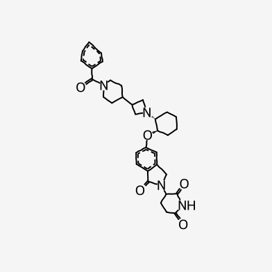 O=C1CCC(N2Cc3cc(O[C@@H]4CCCC[C@H]4N4CC(C5CCN(C(=O)c6ccccc6)CC5)C4)ccc3C2=O)C(=O)N1